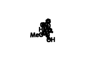 COc1cc(NC(C(=O)c2nocc2-c2ccccc2)c2ccc(C)cc2)cc(OCCO)c1